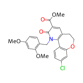 COC(=O)c1cc2c(n(Cc3ccc(OC)cc3OC)c1=O)-c1ccc(Cl)cc1OCC2